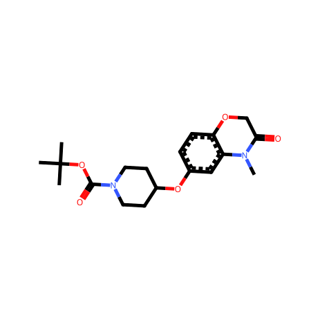 CN1C(=O)COc2ccc(OC3CCN(C(=O)OC(C)(C)C)CC3)cc21